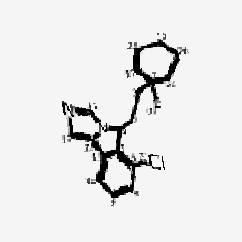 FC1(CCC2c3c(Cl)cccc3-c3cncn32)CCCCC1